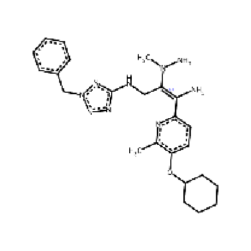 Cc1nc(/C(N)=C(\CNc2nnn(Cc3ccccc3)n2)N(C)N)ccc1OC1CCCCC1